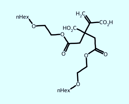 C=C(C(=O)O)C(CC(=O)OCCOCCCCCC)(CC(=O)OCCOCCCCCC)C(=O)O